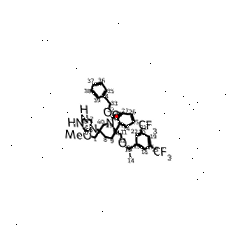 COCC1(N2CNNC2)CC[C@@](CO[C@H](C)c2cc(C(F)(F)F)cc(C(F)(F)F)c2)(c2ccccc2)N(C(=O)OCc2ccccc2)C1